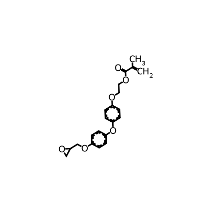 C=C(C)C(=O)OCCOc1ccc(Oc2ccc(OCC3CO3)cc2)cc1